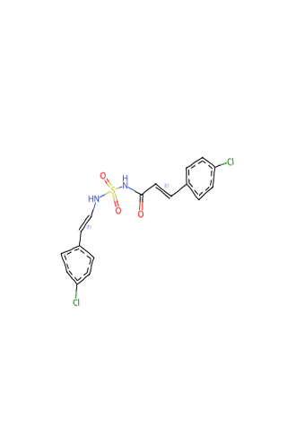 O=C(/C=C/c1ccc(Cl)cc1)NS(=O)(=O)N/C=C/c1ccc(Cl)cc1